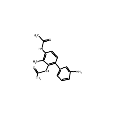 CC(=O)Nc1ccc(-c2cccc(N)c2)c(NC(C)=O)c1N